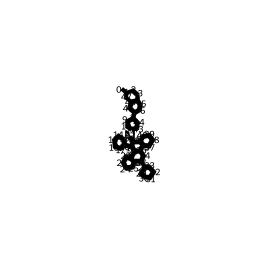 CC1C=Cc2ccc(-c3ccc(-n4c5ccccc5c5c6c7ccccc7c(-c7ccccc7)cc6c6ccccc6c54)cc3)cc2C1